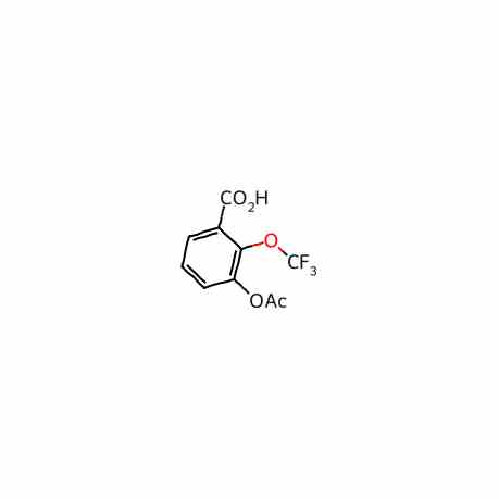 CC(=O)Oc1cccc(C(=O)O)c1OC(F)(F)F